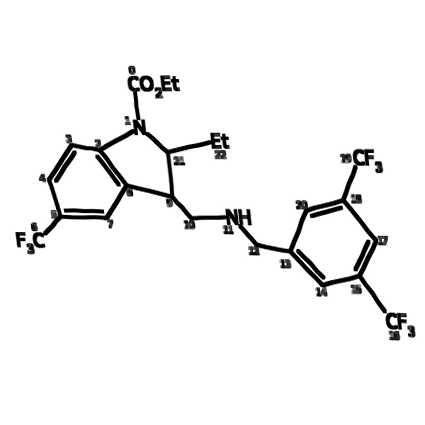 CCOC(=O)N1c2ccc(C(F)(F)F)cc2C(CNCc2cc(C(F)(F)F)cc(C(F)(F)F)c2)C1CC